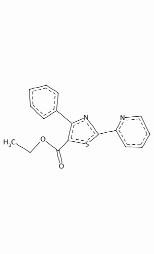 CCOC(=O)c1sc(-c2ccccn2)nc1-c1ccccc1